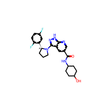 O=C(NC1CCC(O)CC1)c1cnc2[nH]nc(N3CCC[C@@H]3c3cc(F)ccc3F)c2c1